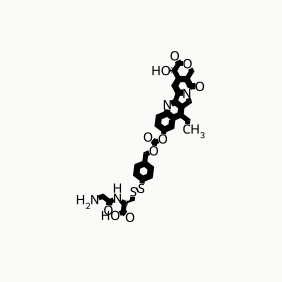 CCc1c2c(nc3ccc(OC(=O)OCc4ccc(SSC[C@H](NC(=O)CN)C(=O)O)cc4)cc13)-c1cc3c(c(=O)n1C2)COC(=O)[C@H]3O